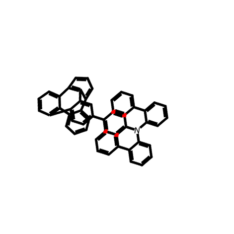 c1ccc(-c2ccccc2N(c2ccc(-c3ccc4c(c3)-c3c5cccc3-c3cccc-4c3-c3ccccc3-5)cc2)c2ccccc2-c2ccccc2)cc1